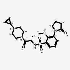 [CH2][C@H](NS(=O)(=O)c1cccc(N2CCCC2=O)c1OC)C(=O)N1CCN(C2CC2)CC1